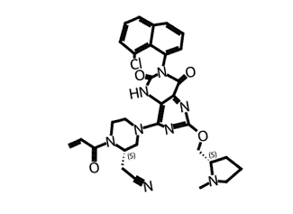 C=CC(=O)N1CCN(c2nc(OC[C@@H]3CCCN3C)nc3c(=O)n(-c4cccc5cccc(Cl)c45)c(=O)[nH]c23)C[C@@H]1CC#N